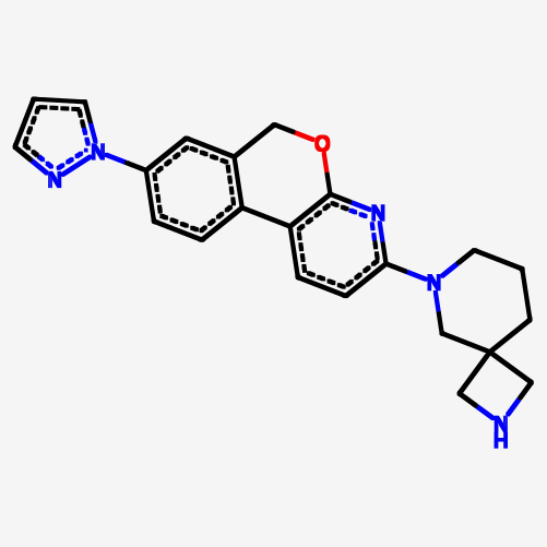 c1cnn(-c2ccc3c(c2)COc2nc(N4CCCC5(CNC5)C4)ccc2-3)c1